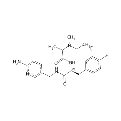 CCN(C)C(C)C(=O)N[C@@H](Cc1ccc(F)c(F)c1)C(=O)NCc1ccc(N)nc1